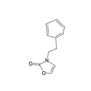 O=c1occn1CCc1ccccc1